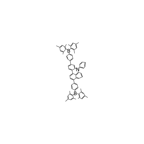 Cc1cc(C)c(B(c2ccc(-c3ccc4c(c3)N(c3ccccc3)c3cccc5c(-c6ccc(B(c7c(C)cc(C)cc7C)c7c(C)cc(C)cc7C)cc6)ccc-4c35)cc2)c2c(C)cc(C)cc2C)c(C)c1